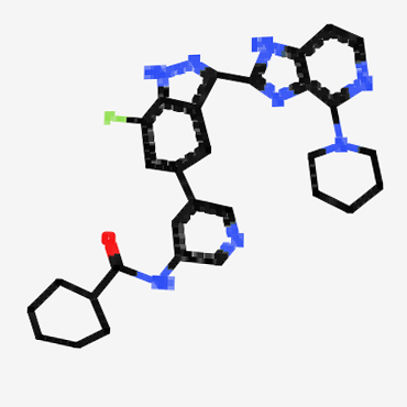 O=C(Nc1cncc(-c2cc(F)c3[nH]nc(-c4nc5c(N6CCCCC6)nccc5[nH]4)c3c2)c1)C1CCCCC1